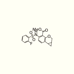 COC(=O)c1c(NS(=O)(=O)c2ccccc2F)ccc2c1OCC1CC21